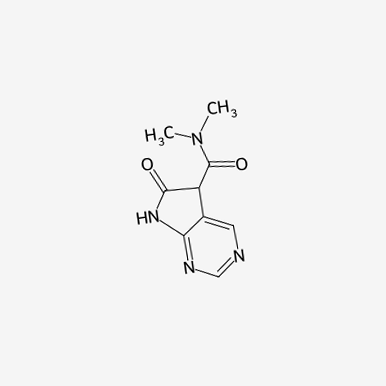 CN(C)C(=O)C1C(=O)Nc2ncncc21